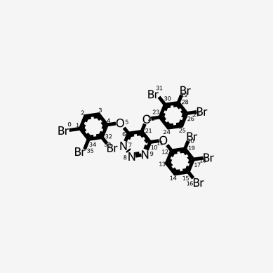 Brc1ccc(Oc2nnnc(Oc3ccc(Br)c(Br)c3Br)c2Oc2ccc(Br)c(Br)c2Br)c(Br)c1Br